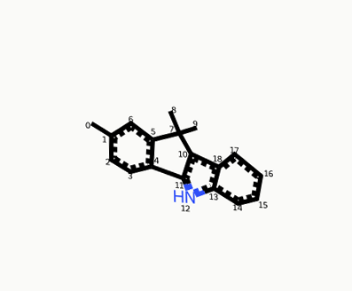 Cc1ccc2c(c1)C(C)(C)c1c-2[nH]c2ccccc12